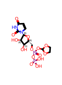 O=c1ccn([C@@H]2O[C@H](COP(=O)(OC3OCCO3)OP(=O)(O)O)[C@@H](O)[C@H]2O)c(=O)[nH]1